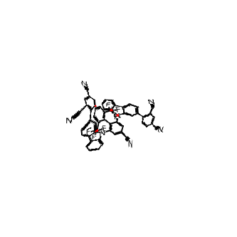 N#Cc1ccc(-c2ccc3c4ccccc4n(-c4cc(C#N)cc(-n5c6ccccc6c6ccc(-c7ccc(C#N)cc7C#N)cc65)c4-c4c(C(F)(F)F)cccc4C(F)(F)F)c3c2)c(C#N)c1